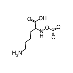 NCCCCC(NOP(=O)=O)C(=O)O